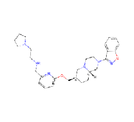 c1cc(CNCCN2CCCC2)nc(OC[C@@H]2CC[C@H]3CN(c4noc5ccccc45)CCN3C2)c1